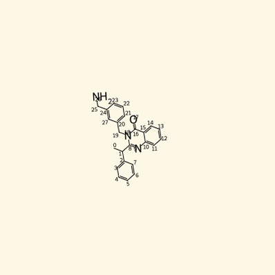 CC(c1ccccc1)c1nc2ccccc2c(=O)n1Cc1cccc(CN)c1